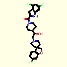 O=C(c1cc2c(Cl)cc(Cl)cc2[nH]1)N1CCC(C(O)CN2CCC3(CC2)COc2cc(Cl)ccc23)CC1